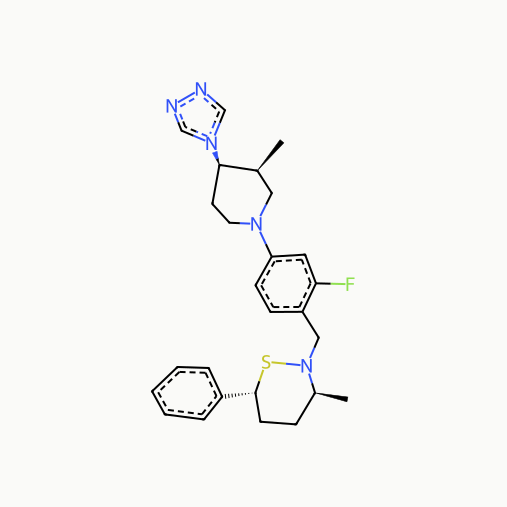 C[C@H]1CN(c2ccc(CN3S[C@@H](c4ccccc4)CC[C@@H]3C)c(F)c2)CC[C@H]1n1cnnc1